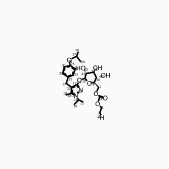 [2H]CCOC(=O)OC[C@H]1OC(Oc2nn(C(C)C)c(C)c2Cc2ccc(OC(C)C)cc2)[C@H](O)[C@@H](O)[C@@H]1O